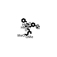 C=C/C(=C\C=C(/COC)OC)CC(=O)NC(=N)N[C@H](CC1=CC=CCC1)C(=O)NCc1cccc(-n2cncn2)c1